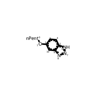 CCCCCOc1ccc2[nH]nnc2c1